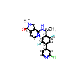 CCN1Cc2c(ccnc2N[C@@H](C)c2cc(F)c(-c3ccnc(Cl)c3)cc2F)C1=O